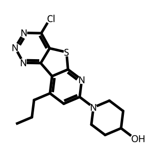 CCCc1cc(N2CCC(O)CC2)nc2sc3c(Cl)nnnc3c12